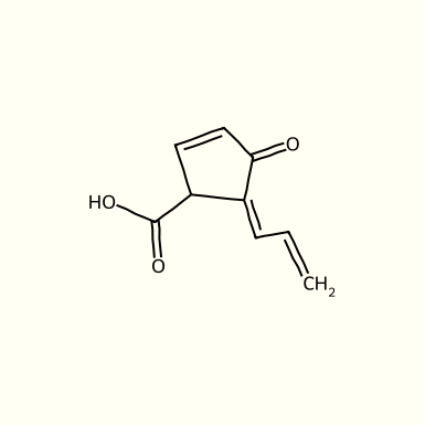 C=CC=C1C(=O)C=CC1C(=O)O